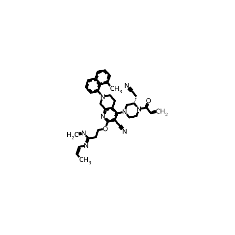 C=CC(=O)N1CCN(c2c(C#N)c(OCC/C(N=C)=N/C=C\C)nc3c2CCN(c2cccc4cccc(C)c24)C3)C[C@@H]1CC#N